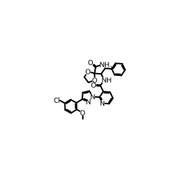 COc1ccc(Cl)cc1-c1ccn(-c2ncccc2C(=O)NC(Cc2ccccc2)C2(C(N)=O)OCCO2)n1